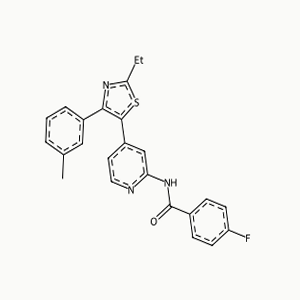 CCc1nc(-c2cccc(C)c2)c(-c2ccnc(NC(=O)c3ccc(F)cc3)c2)s1